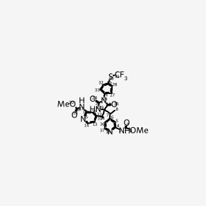 COC(=O)Nc1cc(C(C)C2(C(C)c3ccnc(NC(=O)OC)c3)NC(=O)N(c3ccc(SC(F)(F)F)cc3)C2=O)ccn1